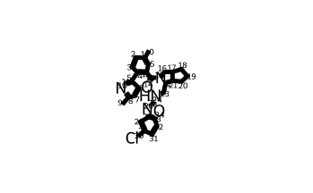 Cc1ccc(-c2ccc(C)nc2)c(C(=O)N2CC3CCCC3C2CNc2nc3cc(Cl)ccc3o2)c1